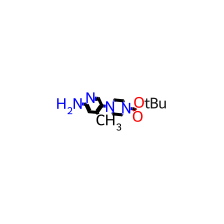 Cc1cc(N)ncc1N1CCN(C(=O)OC(C)(C)C)CC1